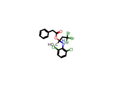 O=C(Cc1ccccc1)OC(CC(Br)(Br)Br)(Nc1c(Cl)cccc1Cl)C(=O)O